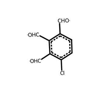 O=[C]c1ccc(Cl)c([C]=O)c1[C]=O